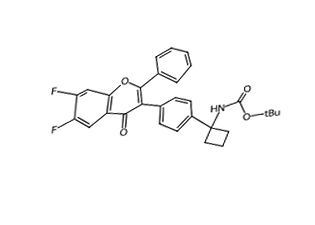 CC(C)(C)OC(=O)NC1(c2ccc(-c3c(-c4ccccc4)oc4cc(F)c(F)cc4c3=O)cc2)CCC1